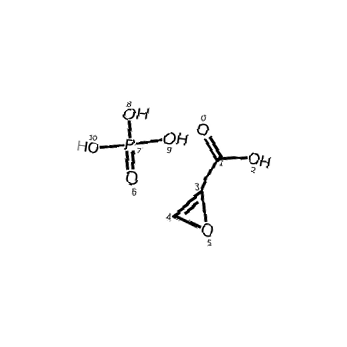 O=C(O)C1=CO1.O=P(O)(O)O